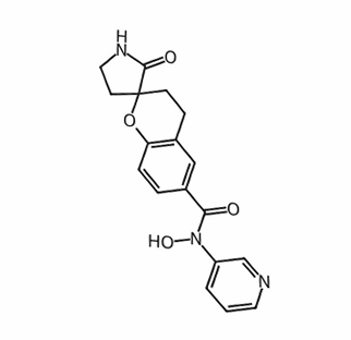 O=C(c1ccc2c(c1)CCC1(CCNC1=O)O2)N(O)c1cccnc1